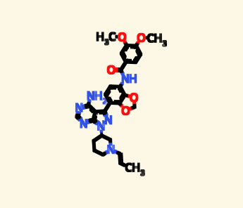 CC=CN1CCC[C@@H](n2nc(-c3ccc(NC(=O)c4ccc(OC)c(OC)c4)c4c3OCO4)c3c(N)ncnc32)C1